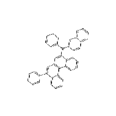 C1=CCCC(N(c2ccc3ccccc3c2)c2cc3cc(-c4ccccc4)c4ccccc4c3c3ccccc23)=C1